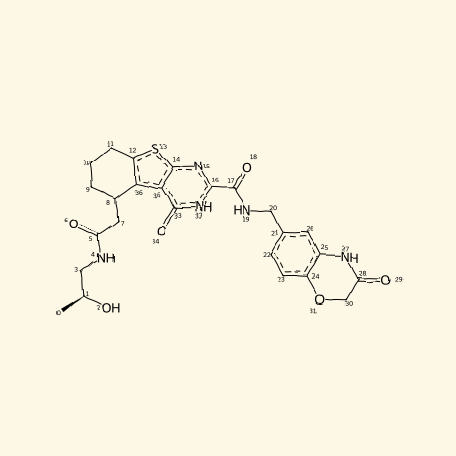 C[C@H](O)CNC(=O)CC1CCCc2sc3nc(C(=O)NCc4ccc5c(c4)NC(=O)CO5)[nH]c(=O)c3c21